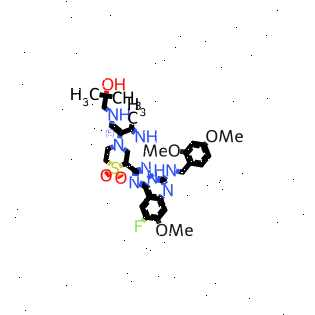 COc1ccc(CNc2nc3cc(OC)c(F)cc3c3nc(C4CN(/C(=C/NCC(C)(C)O)C(C)=N)CCS4(=O)=O)nn23)c(OC)c1